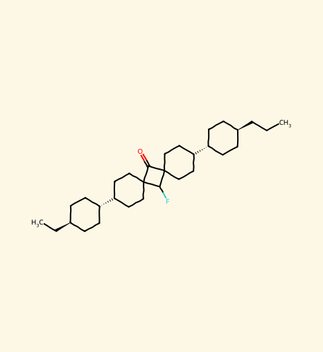 CCC[C@H]1CC[C@H](C2CCC3(CC2)C(=O)C2(CCC([C@H]4CC[C@H](CC)CC4)CC2)C3F)CC1